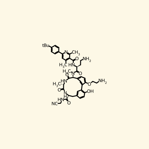 Cc1cc(-c2ccc(C(C)(C)C)cc2)nc(C)c1C(=O)N[C@@H](CCN)C(=O)N(C)[C@@H]1C(=O)N[C@@H](C)C(=O)N[C@H](C(=O)NCC#N)Cc2ccc(O)c(c2)-c2cc1ccc2OCCN